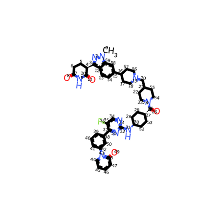 Cn1nc([C@@H]2CCC(=O)NC2=O)c2ccc(C3CCN(CC4CCN(C(=O)[C@H]5CC[C@H](Nc6ncc(F)c(-c7cccc(-n8ccccc8=O)c7)n6)CC5)CC4)CC3)cc21